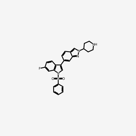 O=S(=O)(c1ccccc1)n1cc(-c2ccc3cn(C4CCNCC4)nc3c2)c2ccc(F)cc21